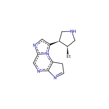 CC[C@@H]1CNC[C@@H]1c1cnc2cnc3c(n12)CC=N3